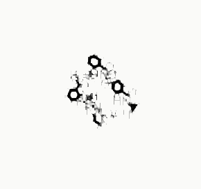 CCOc1nc(F)cc2nc(S(=O)(=O)Nc3c(Cl)cccc3C(=O)OC)nn12.COc1ccccc1C(=O)NS(=O)(=O)c1ccc(C(=O)NC2CC2)cc1